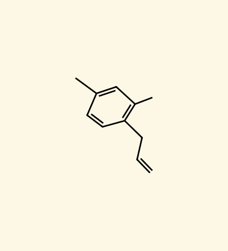 C=CCc1ccc(C)cc1C